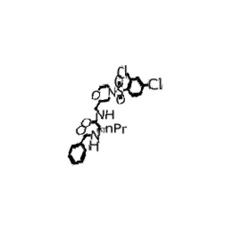 CCC[C@H](NC(=O)c1ccccc1)C(=O)NCC1CN(S(=O)(=O)c2ccc(Cl)cc2Cl)CCO1